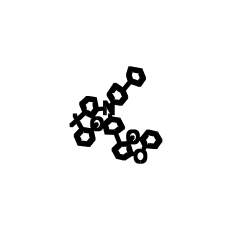 CC1(C)c2ccccc2Oc2c(N(c3ccc(-c4ccccc4)cc3)c3ccc(-c4cccc5c4Oc4ccccc4O5)cc3)cccc21